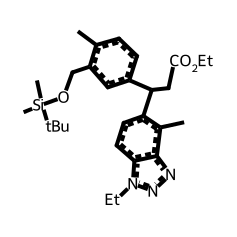 CCOC(=O)CC(c1ccc(C)c(CO[Si](C)(C)C(C)(C)C)c1)c1ccc2c(nnn2CC)c1C